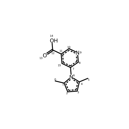 Cc1ccc(C)n1-c1cncc(C(=O)O)c1